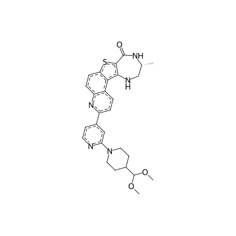 COC(OC)C1CCN(c2cc(-c3ccc4c(ccc5sc6c(c54)NC[C@@H](C)NC6=O)n3)ccn2)CC1